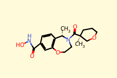 C[C@H]1c2ccc(C(=O)NO)cc2OCCN1C(=O)[C@@]1(C)CCCOC1